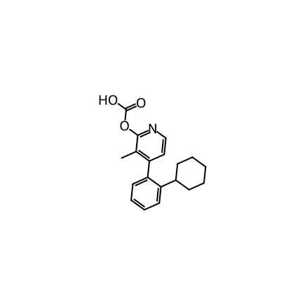 Cc1c(-c2ccccc2C2CCCCC2)ccnc1OC(=O)O